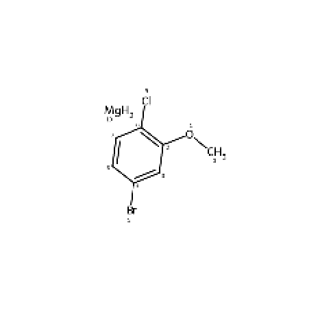 COc1cc(Br)ccc1Cl.[MgH2]